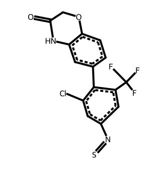 O=C1COc2ccc(-c3c(Cl)cc(N=S)cc3C(F)(F)F)cc2N1